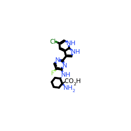 N[C@]1(C(=O)O)CCCC[C@@H]1Nc1nc(C2=CNC3NC=C(Cl)C=C23)ncc1F